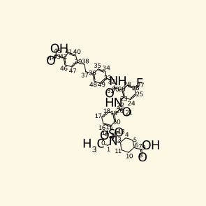 CCN(C1CCC(C(=O)O)CC1)S(=O)(=O)c1cccc(C(=O)Nc2ccc(F)cc2C(=O)Nc2ccc(CCc3ccc(C(=O)O)cc3)cc2)c1